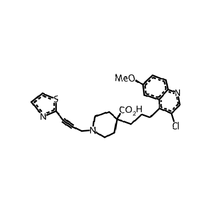 COc1ccc2ncc(Cl)c(CCCC3(C(=O)O)CCN(CC#Cc4nccs4)CC3)c2c1